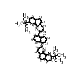 CC(C)(C)c1ccc2ccc3ccc(-c4cccc5c(-c6ccc7ccc8ccc(C(C)(C)C)nc8c7n6)cccc45)nc3c2n1